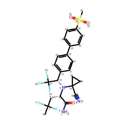 CC(F)(F)C[C@@H](C(N)=O)N([C@@H](c1ccc(-c2ccc(S(C)(=O)=O)cc2)cc1)C(F)(F)F)C1(C#N)CC1